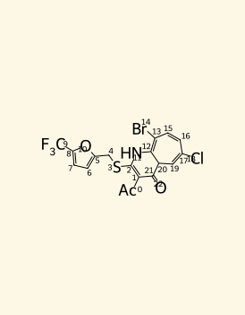 CC(=O)C1=C(SCc2ccc(C(F)(F)F)o2)NC2=C(Br)C=CC(Cl)=CC2C1=O